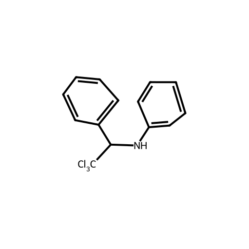 ClC(Cl)(Cl)C(Nc1ccccc1)c1ccccc1